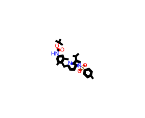 Cc1ccc(S(=O)(=O)n2cc(C(C)C)c3nc(Cc4c(C)cc(NC(=O)OC(C)(C)C)cc4C)ccc32)cc1